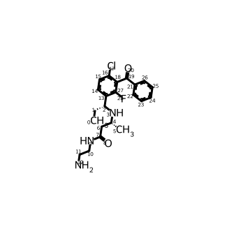 CC[C@@H](N[C@H](C)CC(=O)NCCN)c1ccc(Cl)c(C(=O)c2ccccc2)c1F